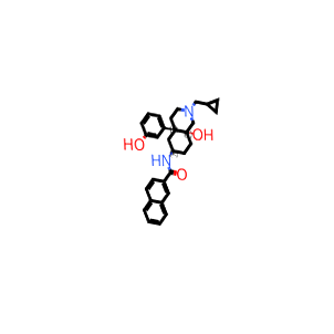 O=C(N[C@@H]1CC[C@]2(O)CN(CC3CC3)CC[C@@]2(c2cccc(O)c2)C1)c1ccc2ccccc2c1